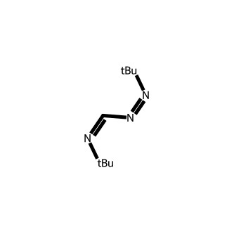 CC(C)(C)/N=C\N=N/C(C)(C)C